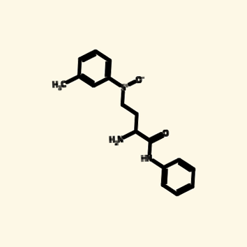 Cc1cccc([S+]([O-])CCC(N)C(=O)Nc2ccccc2)c1